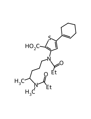 CCC(=O)N(CCCC(C)N(C)C(=O)CC)c1cc(C2=CCCCC2)sc1C(=O)O